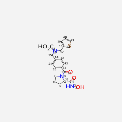 O=C(NO)[C@@H]1CCCN1C(=O)c1ccc(CN(Cc2cccs2)C(=O)O)cc1